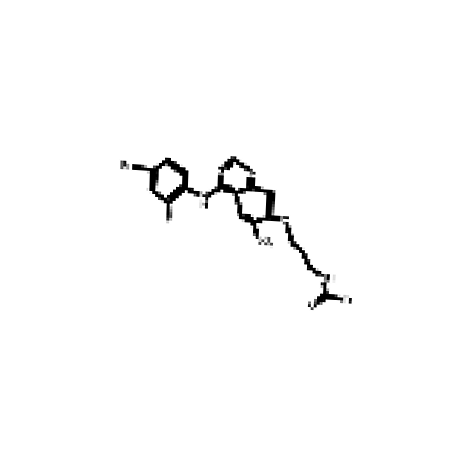 CCC(=O)NCCCOc1cc2ncnc(Nc3ccc(Br)cc3F)c2cc1[N+](=O)[O-]